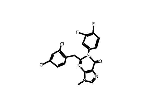 Cn1cnc2c(=O)n(-c3ccc(F)c(F)c3)c(Cc3ccc(Cl)cc3Cl)nc21